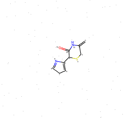 C=C1CSC(C2=CCC=N2)C(=O)N1